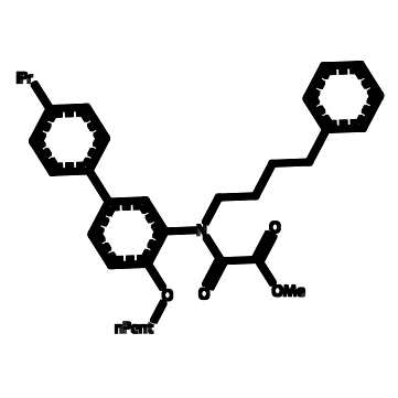 CCCCCOc1ccc(-c2ccc(C(C)C)cc2)cc1N(CCCCc1ccccc1)C(=O)C(=O)OC